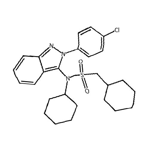 O=S(=O)(CC1CCCCC1)N(c1c2ccccc2nn1-c1ccc(Cl)cc1)C1CCCCC1